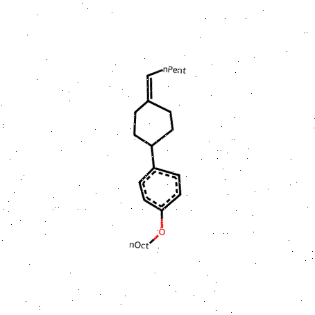 CCCCCC=C1CCC(c2ccc(OCCCCCCCC)cc2)CC1